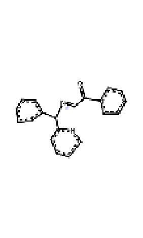 O=C(/C=N/C(c1ccccc1)c1ccccn1)c1ccccc1